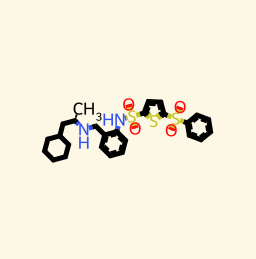 C[C@@H](CC1CCCCC1)NCc1ccccc1NS(=O)(=O)c1ccc(S(=O)(=O)c2ccccc2)s1